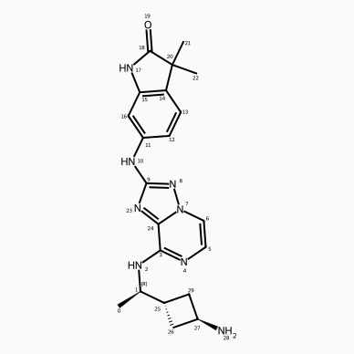 C[C@@H](Nc1nccn2nc(Nc3ccc4c(c3)NC(=O)C4(C)C)nc12)[C@H]1C[C@H](N)C1